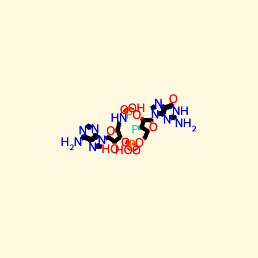 Nc1nc2c(ncn2C2OC3COP(=O)(O)OC4C(CNP(=O)(O)OC2C3F)OC(n2cnc3c(N)ncnc32)C4O)c(=O)[nH]1